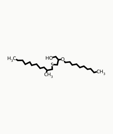 CCCCCCCCCCOC(CO)CSCC(C)CCCCCCCCC